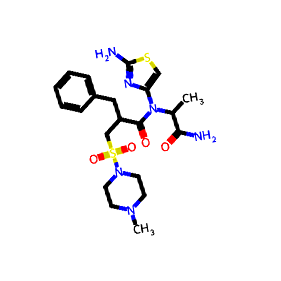 CC(C(N)=O)N(C(=O)C(Cc1ccccc1)CS(=O)(=O)N1CCN(C)CC1)c1csc(N)n1